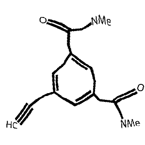 C#Cc1cc(C(=O)NC)cc(C(=O)NC)c1